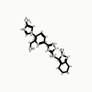 CCn1nc2c(c1Nc1nc(-c3ccc(-n4cnc(C)c4)c(CO)n3)ns1)CCCC2